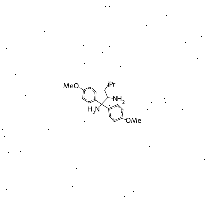 COc1ccc(C(N)(c2ccc(OC)cc2)C(N)CC(C)C)cc1